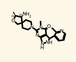 Cc1ncccc1C1NNc2nc(N3CCC4(CC3)CO[C@@H](C)[C@H]4N)n(C)c(=O)c21